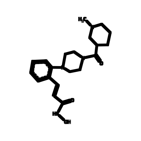 CN1CCCC(C(=O)N2CCN(c3ccccc3C=CC(=O)NO)CC2)C1